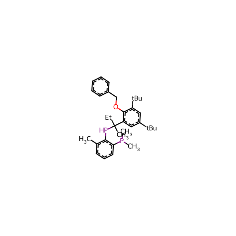 CCC(C)(Pc1c(C)cccc1P(C)C)c1cc(C(C)(C)C)cc(C(C)(C)C)c1OCc1ccccc1